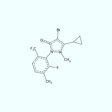 Cc1ccc(C(F)(F)F)c(-n2c(=O)c(Br)c(C3CC3)n2C)c1F